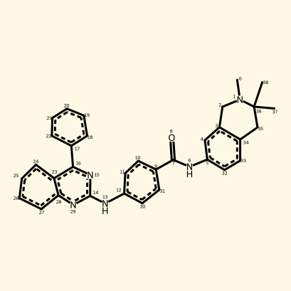 CN1Cc2cc(NC(=O)c3ccc(Nc4nc(-c5ccccc5)c5ccccc5n4)cc3)ccc2CC1(C)C